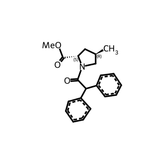 COC(=O)[C@@H]1C[C@@H](C)CN1C(=O)C(c1ccccc1)c1ccccc1